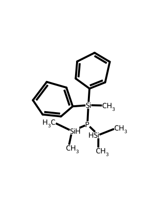 C[SiH](C)P([SiH](C)C)[Si](C)(c1ccccc1)c1ccccc1